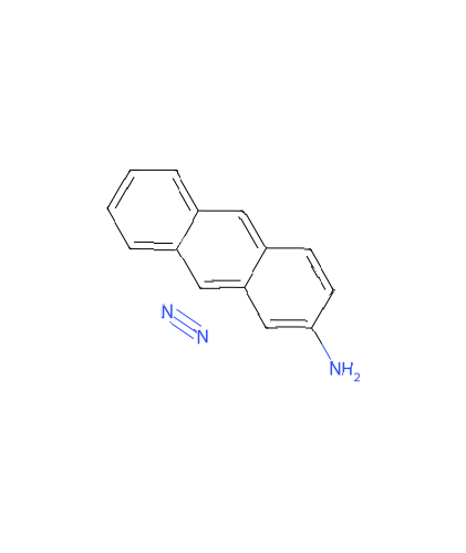 N#N.Nc1ccc2cc3ccccc3cc2c1